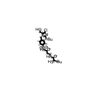 CCCCc1nc(Cl)c(CO)n1Cc1ccc(S(=O)(=O)NC(=O)CCNC(=O)C(S)C(C)CC)cc1